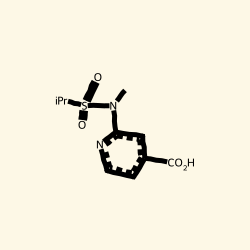 CC(C)S(=O)(=O)N(C)c1cc(C(=O)O)ccn1